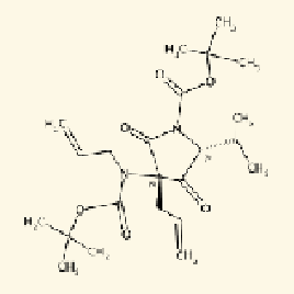 C=CCN(C(=O)OC(C)(C)C)[C@@]1(CC=C)C(=O)[C@@H](C(C)C)N(C(=O)OC(C)(C)C)C1=O